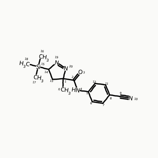 CC1(C(=O)Nc2ccc(C#N)cc2)CC([Si](C)(C)C)N=N1